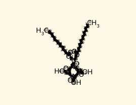 CCCCCCCCCCCCCCCC(=O)OCCN(CCOC(=O)CCCCCCCCCCCCCCC)C(=O)CN1CCN(CC(=O)O)CCN(CC(=O)O)CCN(CC(=O)O)CC1